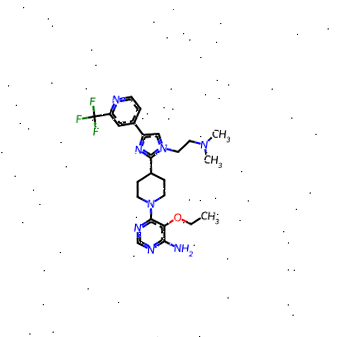 CCOc1c(N)ncnc1N1CCC(c2nc(-c3ccnc(C(F)(F)F)c3)cn2CCN(C)C)CC1